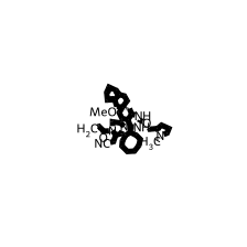 C=CC(=O)N1CCN(C2(C3CCCCCCCC3)NC(OCC3CCCN3C)NC3C[C@]4(CCc5ccccc5C4OC)CCC32)CC1CC#N